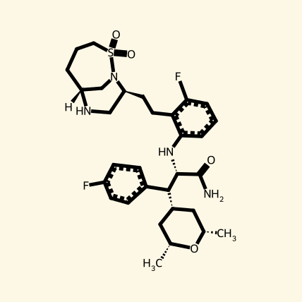 C[C@@H]1C[C@H](C(c2ccc(F)cc2)[C@H](Nc2cccc(F)c2CC[C@H]2CN[C@@H]3CCCS(=O)(=O)N2C3)C(N)=O)C[C@H](C)O1